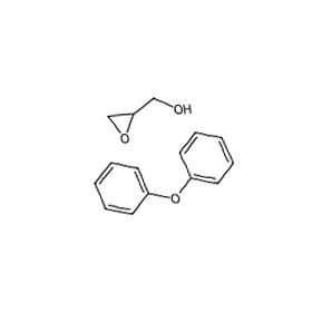 OCC1CO1.c1ccc(Oc2ccccc2)cc1